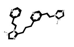 C[C@H]1CN=CN1CCc1cncc(CCCC2=NC[C@H](C)N2CCc2cccnc2)c1